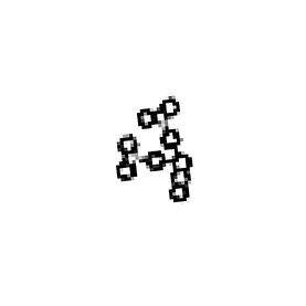 c1ccc2cc3c(-c4ccc(-n5c6ccccc6c6ccccc65)cc4)c(-c4ccc(-n5c6ccccc6c6ccccc65)cc4)ccc3cc2c1